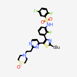 CC(C)(C)c1nc(-c2cccc(NS(=O)(=O)c3cc(F)ccc3F)c2F)c(-c2ccnc(CCN3CC[S+]([O-])CC3)n2)s1